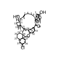 O=C(O)C[C@H]1CC/C=C/[C@H](O)[C@@H]2CC[C@H]2CN2C[C@@]3(CCCc4cc(Cl)ccc43)COc3ccc(cc32)C(=O)NS1(=O)=O